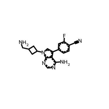 N#Cc1ccc(-c2cn(C3CC(CN)C3)c3ncnc(N)c23)cc1F